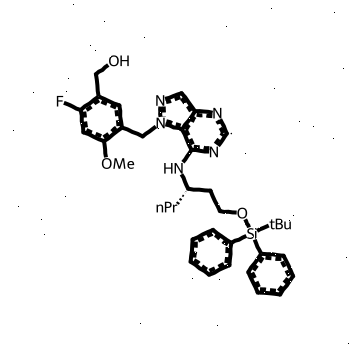 CCC[C@@H](CCO[Si](c1ccccc1)(c1ccccc1)C(C)(C)C)Nc1n[c]nc2cnn(Cc3cc(CO)c(F)cc3OC)c12